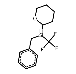 FC(F)(F)[SiH](Cc1ccccc1)C1CCCCO1